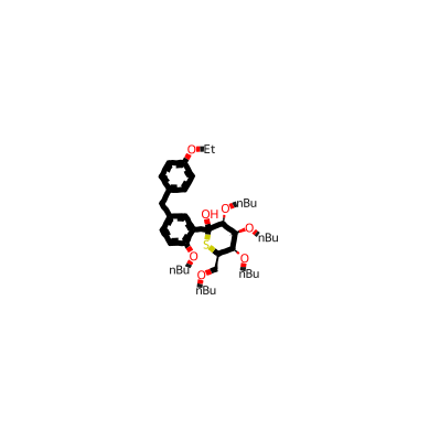 CCCCOC[C@H]1SC(O)(c2cc(Cc3ccc(OCC)cc3)ccc2OCCCC)[C@H](OCCCC)[C@@H](OCCCC)[C@@H]1OCCCC